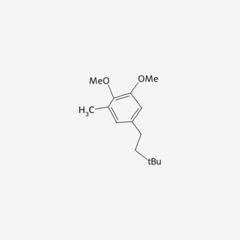 COc1cc(CCC(C)(C)C)cc(C)c1OC